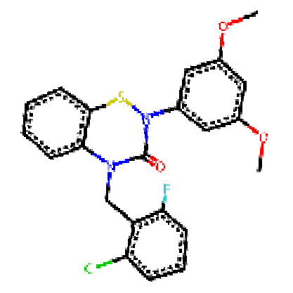 COc1cc(OC)cc(N2Sc3ccccc3N(Cc3c(F)cccc3Cl)C2=O)c1